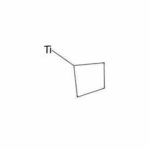 [Ti][CH]1CCC1